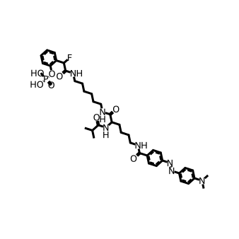 CC(C)C(=O)NC(CCCCNC(=O)c1ccc(/N=N/c2ccc(N(C)C)cc2)cc1)C(=O)NCCCCCCNC(=O)C(F)c1ccccc1OP(=O)(O)O